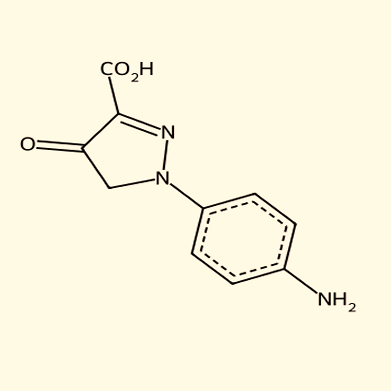 Nc1ccc(N2CC(=O)C(C(=O)O)=N2)cc1